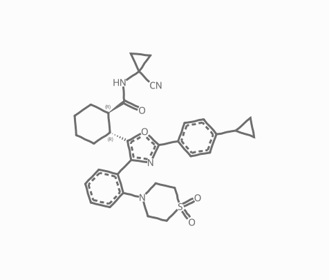 N#CC1(NC(=O)[C@@H]2CCCC[C@H]2c2oc(-c3ccc(C4CC4)cc3)nc2-c2ccccc2N2CCS(=O)(=O)CC2)CC1